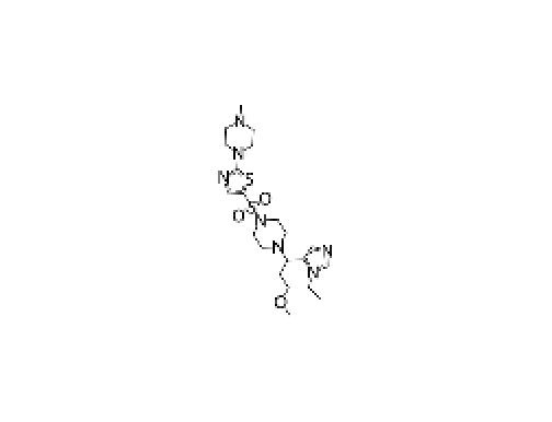 CCn1cncc1C(CCOC)N1CCN(S(=O)(=O)c2cnc(N3CCN(C)CC3)s2)CC1